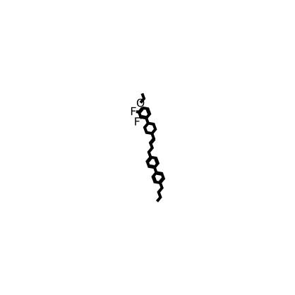 CCCCc1ccc(-c2ccc(CC/C=C/C3CCC(c4ccc(OCC)c(F)c4F)CC3)cc2)cc1